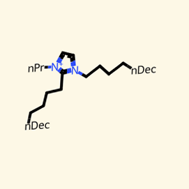 CCCCCCCCCCCCCCc1n(CCCCCCCCCCCCCC)cc[n+]1CCC